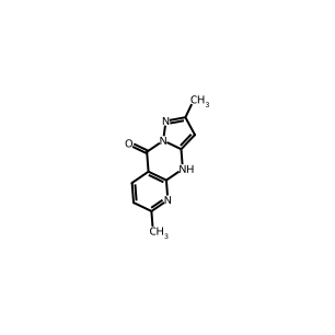 Cc1ccc2c(=O)n3nc(C)cc3[nH]c2n1